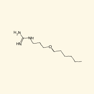 CCCCCCOCCCNC(=N)N